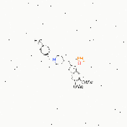 COc1cc2c(cc1OC)C(OP)C(CC1CCN(Cc3ccc(C)cc3)CC1)C2